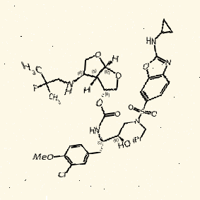 COc1ccc(C[C@H](NC(=O)O[C@H]2CO[C@H]3OC[C@H](NCC(C)(C)F)[C@H]32)[C@H](O)CN(CC(C)C)S(=O)(=O)c2ccc3nc(NC4CC4)oc3c2)cc1Cl